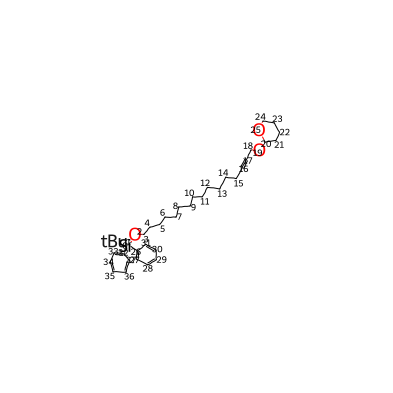 CC(C)(C)[Si](OCCCCCCCCCCCCCC#CCOC1CCCCO1)(c1ccccc1)c1ccccc1